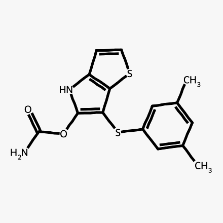 Cc1cc(C)cc(Sc2c(OC(N)=O)[nH]c3ccsc23)c1